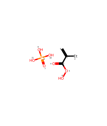 C=C(CC)C(=O)OO.O=P(O)(O)O